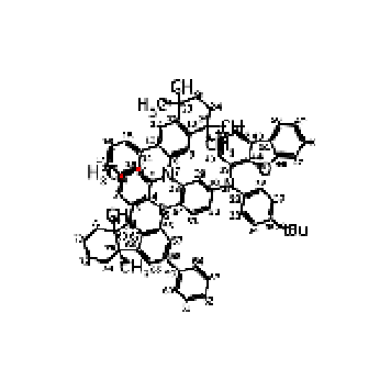 Cc1cc2c3c(c1)N(c1cc4c(cc1-c1ccccc1)C(C)(C)CCC4(C)C)c1cc(N(c4ccc(C(C)(C)C)cc4)c4cccc5c4oc4ccccc45)ccc1B3c1cc(-c3ccccc3)cc3c1C2C1(C)CCCCC31C